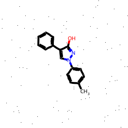 Cc1ccc(-n2cc(-c3ccccc3)c(O)n2)cc1